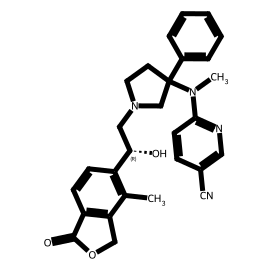 Cc1c([C@@H](O)CN2CCC(c3ccccc3)(N(C)c3ccc(C#N)cn3)C2)ccc2c1COC2=O